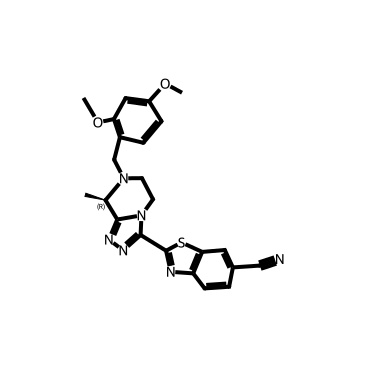 COc1ccc(CN2CCn3c(-c4nc5ccc(C#N)cc5s4)nnc3[C@H]2C)c(OC)c1